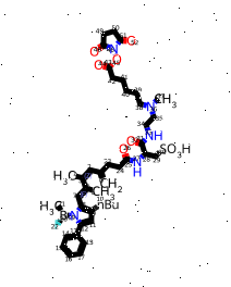 C=C(/C=C(C)\C(C)=C\c1c(CCCC)cc(-c2ccccc2)n1B(C)F)CCC(=O)NC(CS(=O)(=O)O)C(=O)NCCN(C)CCCCCC(=O)ON1C(=O)CCC1=O